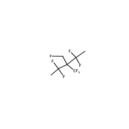 CC(F)(F)C(CF)(C(C)(F)F)C(F)(F)F